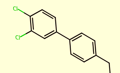 CCc1ccc(-c2ccc(Cl)c(Cl)c2)cc1